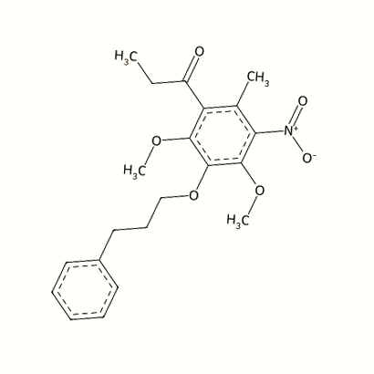 CCC(=O)c1c(C)c([N+](=O)[O-])c(OC)c(OCCCc2ccccc2)c1OC